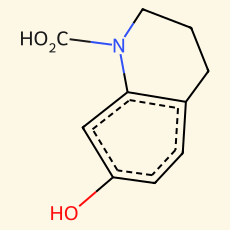 O=C(O)N1CCCc2ccc(O)cc21